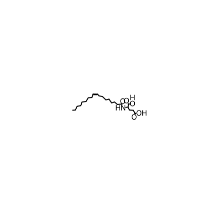 CCCCCCCC/C=C\CCCCCCCC(=O)NC(CCC(=O)O)C(=O)O